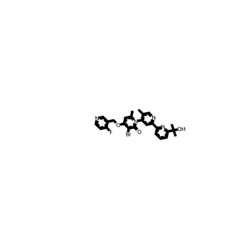 Cc1cnc(-c2cccc(C(C)(C)O)n2)cc1-n1c(C)cc(OCc2cnccc2F)c(Br)c1=O